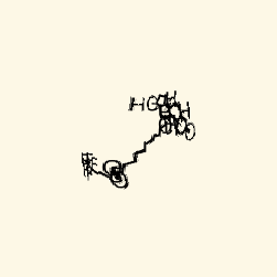 C[C@]12CCC(=O)C[C@@H]1CC[C@@H]1[C@@H]2[C@@H](OCCCCCCCCCCS(=O)(=O)CCCC(F)(F)C(F)(F)F)C[C@]2(C)[C@@H](O)CC[C@@H]12